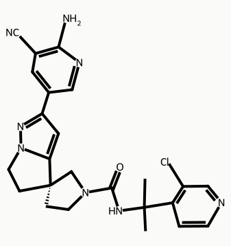 CC(C)(NC(=O)N1CC[C@@]2(CCn3nc(-c4cnc(N)c(C#N)c4)cc32)C1)c1ccncc1Cl